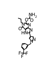 CCCn1c(OC(N)=O)nc2nc(-c3cnn(Cc4cccc(C(F)(F)F)c4)c3)[nH]c2c1=O